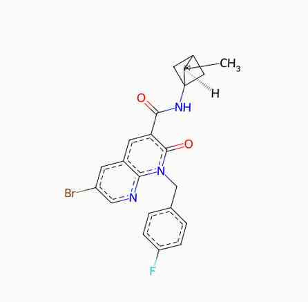 C[C@@H]1C2CC1(NC(=O)c1cc3cc(Br)cnc3n(Cc3ccc(F)cc3)c1=O)C2